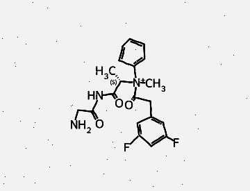 C[C@@H](C(=O)NC(=O)CN)[N+](C)(C(=O)Cc1cc(F)cc(F)c1)c1ccccc1